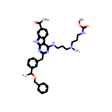 COC(=O)c1ccc2c(c1)[nH]c1nc(Cc3cccc(C(OCc4ccccc4)C(F)(F)F)c3)nc(NCCCN(C)CCCNC(=O)OC(C)(C)C)c12